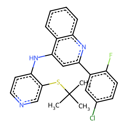 CC(C)(C)Sc1cnccc1Nc1cc(-c2cc(Cl)ccc2F)nc2ccccc12